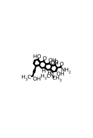 CC(O)C#Cc1ccc(O)c2c1C[C@@H]1C[C@@H]3[C@H](N(C)C)C(O)=C(C(N)=O)C(=O)[C@@]3(O)C(O)=C1C2=O